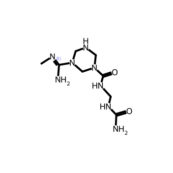 C/N=C(\N)N1CNCN(C(=O)NCNC(N)=O)C1